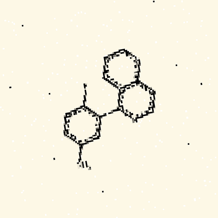 Nc1ccc(F)c(-c2nccc3ccccc23)c1